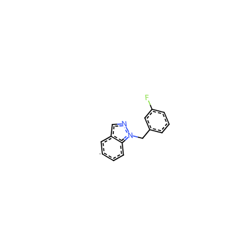 Fc1cccc(Cn2ncc3c[c]ccc32)c1